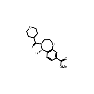 COC(=O)c1ccc2c(c1)OCCN(C(=O)C1CCOCC1)[C@@H]2C(C)C